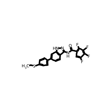 CCSc1ccc(-c2ccc3c(NC(=O)c4cc(F)c(F)c(F)c4F)n[nH]c3c2)cc1